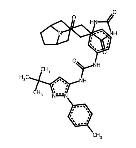 Cc1ccc(-n2nc(C(C)(C)C)cc2NC(=O)Nc2cccc(CC3CC4CCC(C3)N4C(=O)CC3NC(=O)NC3=O)c2)cc1